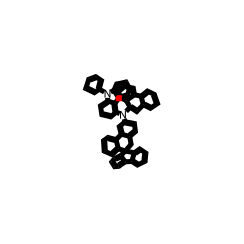 c1ccc(-n2c3ccccc3c3c(N(c4ccc5c(c4)-c4ccccc4C4(C5)c5ccccc5-c5ccccc54)c4cc5ccccc5c5ccccc45)cccc32)cc1